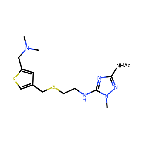 CC(=O)Nc1nc(NCCSCc2csc(CN(C)C)c2)n(C)n1